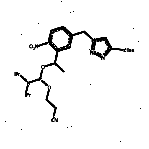 CCCCCCc1cn(Cc2ccc([N+](=O)[O-])c(C(C)OP(OCCC#N)N(C(C)C)C(C)C)c2)nn1